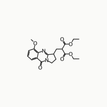 CCOC(=O)C(CC1CCn2c1nc1c(OC)cccc1c2=O)C(=O)OCC